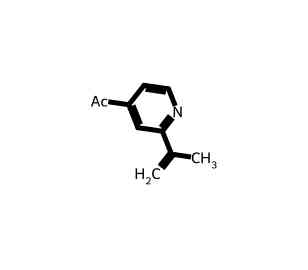 C=C(C)c1cc(C(C)=O)ccn1